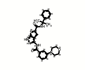 CC(C)(NC(=O)c1cc2c(NC(=O)c3cccc(N4CCOCC4)c3)n[nH]c2s1)c1ccccc1